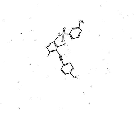 Cc1cccc(S(=O)(=O)Nc2ccc(F)c(C#Cc3cnc(N)nc3)c2F)c1